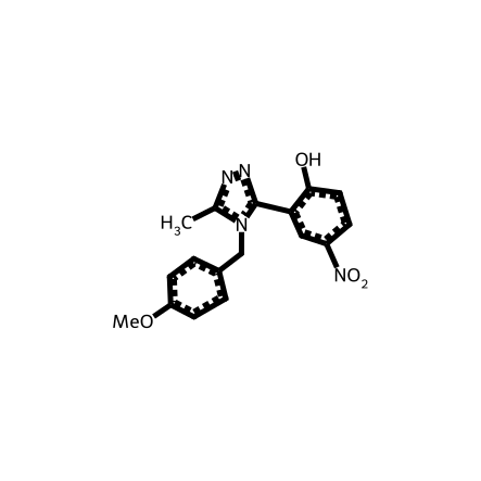 COc1ccc(Cn2c(C)nnc2-c2cc([N+](=O)[O-])ccc2O)cc1